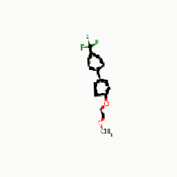 COCCOc1ccc(-c2ccc(C(F)(F)F)cc2)cc1